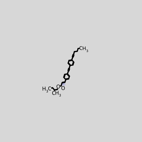 CCCCC#Cc1ccc(C#Cc2ccc(/C=C/C(=O)OCC(C)CC)cc2)cc1